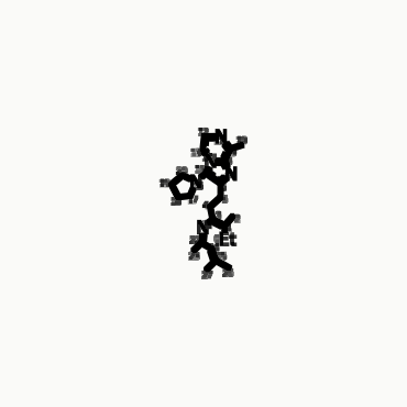 CC/C(C)=C(CCc1nc2c(C)nccn2c1N1CCCC1)\N=C(\C)C=C(C)C